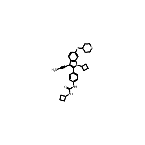 NC#Cc1c(-c2ccc(NC(=O)NC3CCC3)cc2)n(C2CCC2)c2cc(OC3CCOCC3)ccc12